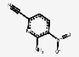 N#Cc1ccc([N+](=O)[O-])c(N)n1